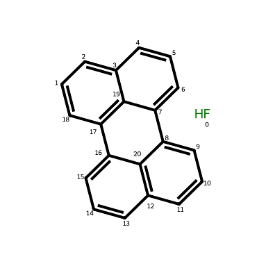 F.c1cc2cccc3c4cccc5cccc(c(c1)c23)c54